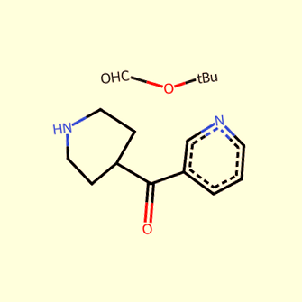 CC(C)(C)OC=O.O=C(c1cccnc1)C1CCNCC1